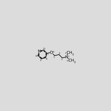 CN(C)CCCOc1c[c]cnc1